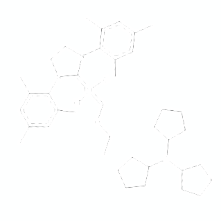 C1CCC(P(C2CCCC2)C2CCCC2)C1.CCO[CH]=[Ru]([Cl])([Cl])=[C]1N(c2c(C)cc(C)cc2C)CCN1c1c(C)cc(C)cc1C